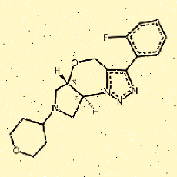 Fc1ccccc1-c1nnn2c1CO[C@H]1CN(C3CCOCC3)C[C@@H]12